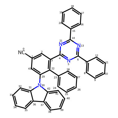 N#Cc1cc(-c2nc(-c3ccccc3)nc(-c3ccccc3)n2)c(-c2ccccc2)c(-n2c3ccccc3c3ccccc32)c1